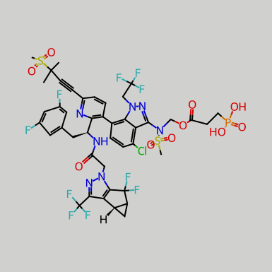 CC(C)(C#Cc1ccc(-c2ccc(Cl)c3c(N(COC(=O)CCP(=O)(O)O)S(C)(=O)=O)nn(CC(F)(F)F)c23)c([C@H](Cc2cc(F)cc(F)c2)NC(=O)Cn2nc(C(F)(F)F)c3c2C(F)(F)C2C[C@H]32)n1)S(C)(=O)=O